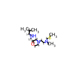 CSCN(C)CCN1CCO[C@H](CNCC(C)C)C1